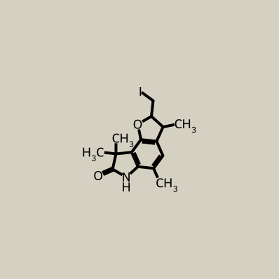 Cc1cc2c(c3c1NC(=O)C3(C)C)OC(CI)C2C